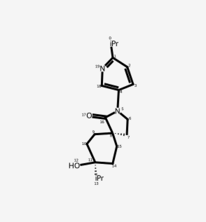 CC(C)c1ccc(N2CC[C@]3(CC[C@@](O)(C(C)C)CC3)C2=O)cn1